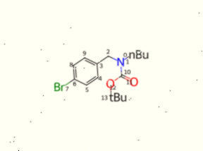 CCCCN(Cc1ccc(Br)cc1)C(=O)OC(C)(C)C